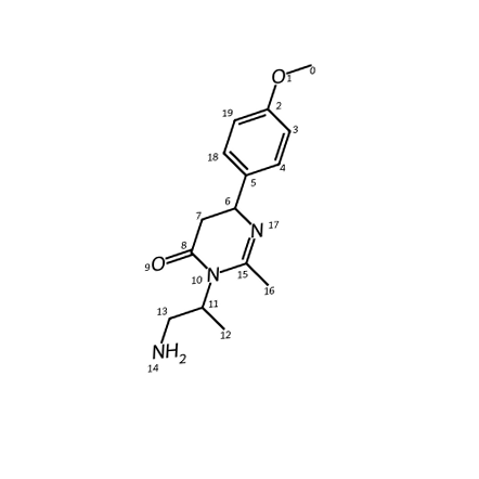 COc1ccc(C2CC(=O)N(C(C)CN)C(C)=N2)cc1